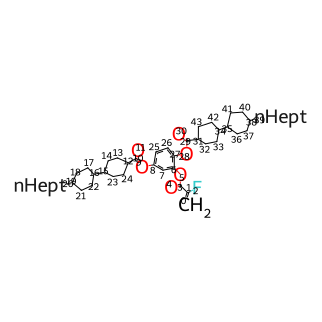 C=C(F)C(=O)Oc1cc(OC(=O)C2CCC(C3CCC(CCCCCCC)CC3)CC2)ccc1OC(=O)C1CCC(C2CCC(CCCCCCC)CC2)CC1